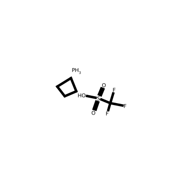 C1CCC1.O=S(=O)(O)C(F)(F)F.P